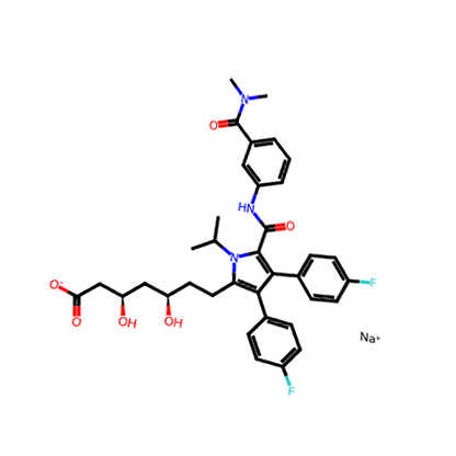 CC(C)n1c(CC[C@@H](O)C[C@@H](O)CC(=O)[O-])c(-c2ccc(F)cc2)c(-c2ccc(F)cc2)c1C(=O)Nc1cccc(C(=O)N(C)C)c1.[Na+]